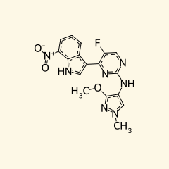 COc1nn(C)cc1Nc1ncc(F)c(-c2c[nH]c3c([N+](=O)[O-])cccc23)n1